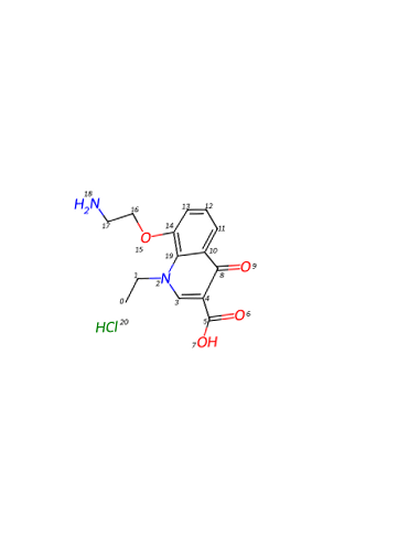 CCn1cc(C(=O)O)c(=O)c2cccc(OCCN)c21.Cl